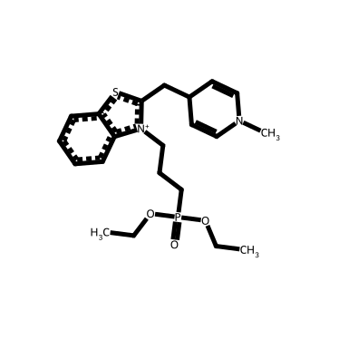 CCOP(=O)(CCC[n+]1c(CC2C=CN(C)C=C2)sc2ccccc21)OCC